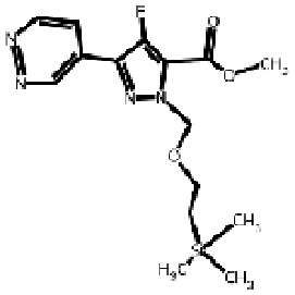 COC(=O)c1c(F)c(-c2ccnnc2)nn1COCC[Si](C)(C)C